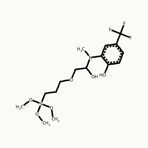 CO[Si](CCCOCC(O)N(C)c1cc(C(F)(F)F)ccc1O)(OC)OC